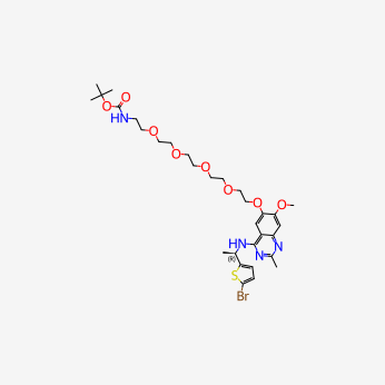 COc1cc2nc(C)nc(N[C@H](C)c3ccc(Br)s3)c2cc1OCCOCCOCCOCCOCCNC(=O)OC(C)(C)C